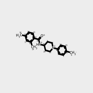 [CH2]c1ccc(N2CCC(NC(=O)c3ccc(C)cc3C)CC2)cc1